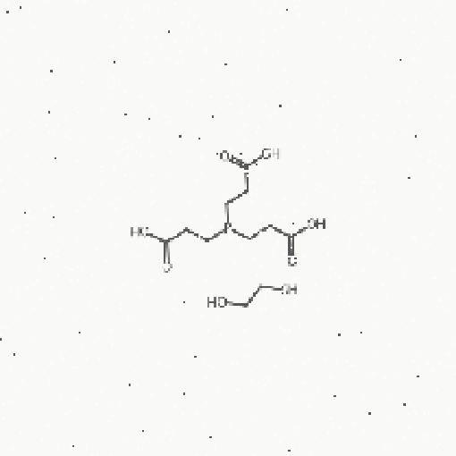 O=C(O)CCP(CCC(=O)O)CCC(=O)O.OCCS